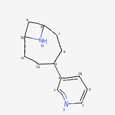 c1cncc(C2CCC3CC(CC2)N3)c1